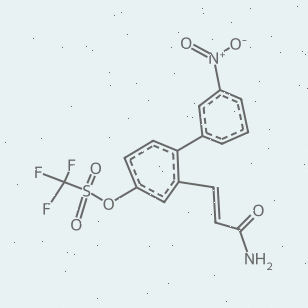 NC(=O)/C=C/c1cc(OS(=O)(=O)C(F)(F)F)ccc1-c1cccc([N+](=O)[O-])c1